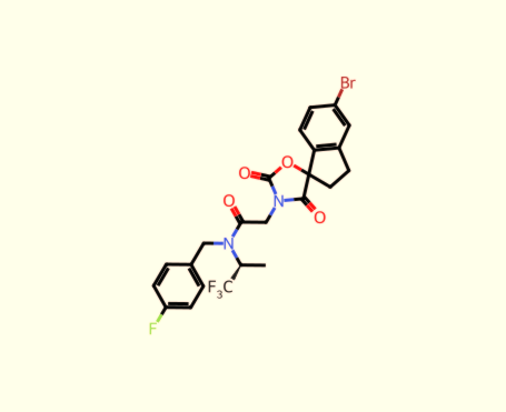 C[C@H](N(Cc1ccc(F)cc1)C(=O)CN1C(=O)OC2(CCc3cc(Br)ccc32)C1=O)C(F)(F)F